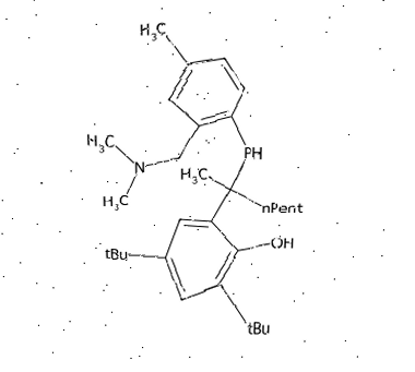 CCCCCC(C)(Pc1ccc(C)cc1CN(C)C)c1cc(C(C)(C)C)cc(C(C)(C)C)c1O